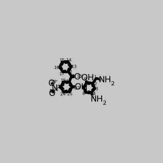 NCc1cc(N)ccc1O.O=C(c1ccccc1)c1cc([N+](=O)[O-])ccc1O